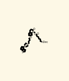 CCCCCCCCCCCCCCCC(=O)OCN1C(=O)CCc2ccc(OCCCCN3CCN(c4cccc5sccc45)CC3)cc21